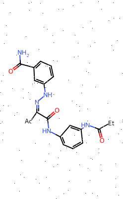 CCC(=O)Nc1cccc(NC(=O)/C(=N\Nc2cccc(C(N)=O)c2)C(C)=O)c1